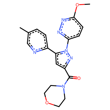 COc1ccc(-n2nc(C(=O)N3CCOCC3)cc2-c2ccc(C)cn2)nn1